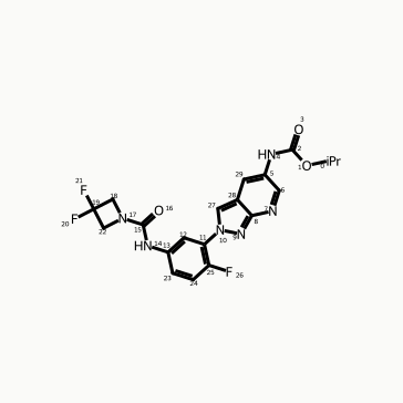 CC(C)OC(=O)Nc1cnc2nn(-c3cc(NC(=O)N4CC(F)(F)C4)ccc3F)cc2c1